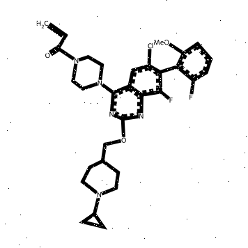 C=CC(=O)N1CCN(c2nc(OCC3CCN(C4CC4)CC3)nc3c(F)c(-c4c(F)cccc4OC)c(Cl)cc23)CC1